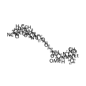 CC[C@@H]1C(=O)N(C)c2cnc(Nc3ccc(C(=O)NCCCCOCCOC4CCN(c5ncc(C(=O)NC6C(C)(C)C(Oc7ccc(C#N)c(Cl)c7)C6(C)C)cn5)CC4)cc3OC)nc2N1C1CCCC1